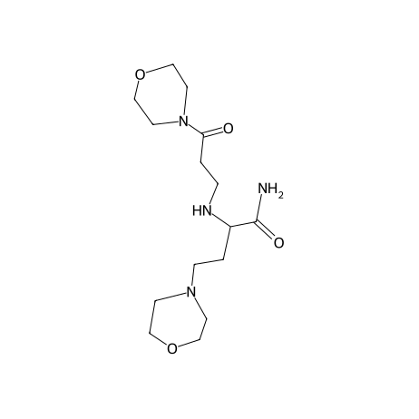 NC(=O)C(CCN1CCOCC1)NCCC(=O)N1CCOCC1